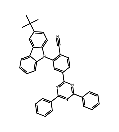 CC(C)(C)c1ccc2c(c1)c1ccccc1n2-c1cc(-c2nc(-c3ccccc3)nc(-c3ccccc3)n2)ccc1C#N